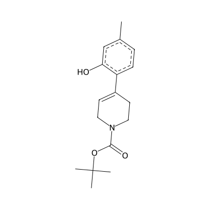 Cc1ccc(C2=CCN(C(=O)OC(C)(C)C)CC2)c(O)c1